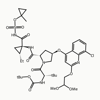 CC[C@@H]1C[C@]1(NC(=O)[C@@H]1C[C@@H](Oc2cc(OCC(OC)OC)nc3c(Cl)cccc23)CN1C(=O)[C@@H](NC(=O)OC(C)(C)C)C(C)(C)C)C(=O)NS(=O)(=O)OC1(C)CC1